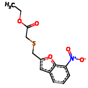 CCOC(=O)CSCc1cc2cccc([N+](=O)[O-])c2o1